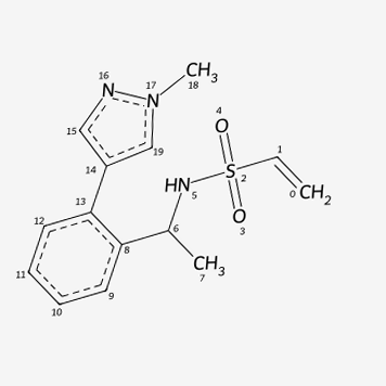 C=CS(=O)(=O)NC(C)c1ccccc1-c1cnn(C)c1